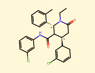 CCN1C(=O)C[C@@H](C2C=C(Cl)C=CC2)C(C(=O)Nc2cccc(Cl)c2)[C@@H]1c1ccccc1C